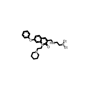 CCN(CC)CCNCc1cc2ccc(Oc3ccccc3)cc2n(CCN2CCCCC2)c1=O